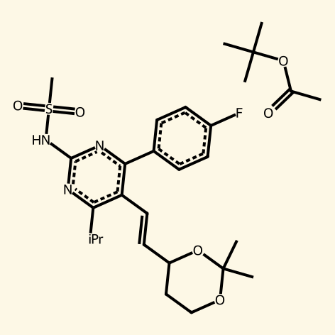 CC(=O)OC(C)(C)C.CC(C)c1nc(NS(C)(=O)=O)nc(-c2ccc(F)cc2)c1/C=C/C1CCOC(C)(C)O1